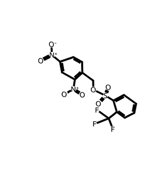 O=[N+]([O-])c1ccc(COS(=O)(=O)c2ccccc2C(F)(F)F)c([N+](=O)[O-])c1